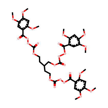 COc1cc(OC)c(C(=O)OOC(=O)OCCC(CCOC(=O)OOC(=O)c2cc(OC)c(OC)cc2OC)COC(=O)OOC(=O)c2cc(OC)c(OC)cc2OC)cc1OC